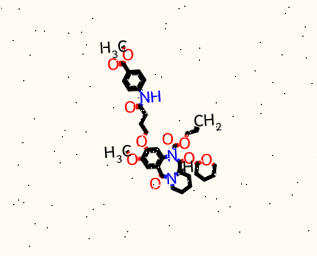 C=CCOC(=O)N1c2cc(OCCCC(=O)Nc3ccc(C(=O)OC)cc3)c(OC)cc2C(=O)N2CCCC[C@H]2C1OC1CCCCO1